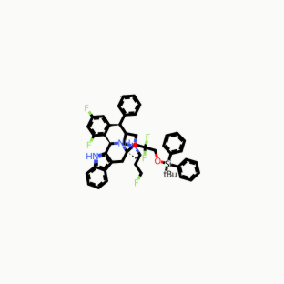 CC(C)(C)[Si](OCC(F)(F)C[C@@]1(C)Cc2c([nH]c3ccccc23)[C@@H](c2c(F)cc(F)cc2[C@@H](c2c[c]ccc2)C2CN(CCCF)C2)N1)(c1ccccc1)c1ccccc1